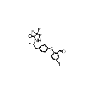 C[C@H](Cc1ccc(Sc2ccc(I)cc2C=O)cc1)NC(=O)C(F)(F)F